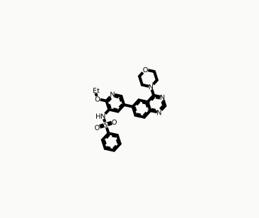 CCOc1ncc(-c2ccc3ncnc(N4CCOCC4)c3c2)cc1NS(=O)(=O)c1ccccc1